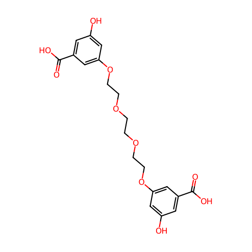 O=C(O)c1cc(O)cc(OCCOCCOCCOc2cc(O)cc(C(=O)O)c2)c1